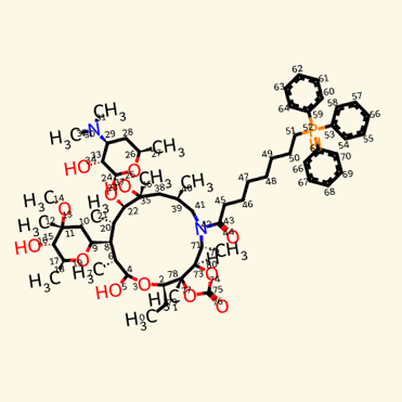 CC[C@H]1OC(O)[C@H](C)[C@@H](C2C[C@@](C)(OC)[C@@H](O)[C@H](C)O2)[C@H](C)[C@@H](O[C@@H]2O[C@H](C)C[C@H](N(C)C)[C@H]2O)[C@](C)(O)C[C@@H](C)CN(C(=O)CCCCCCC[PH](c2ccccc2)(c2ccccc2)c2ccccc2)[C@H](C)[C@H]2OC(=O)O[C@@]21C